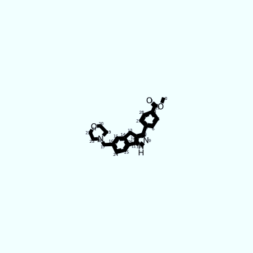 COC(=O)c1ccc(-c2n[nH]c3c2Cc2cc(CN4CCOCC4)ccc2-3)cc1